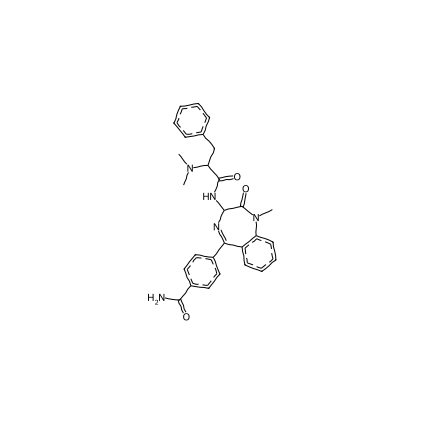 CN1C(=O)C(NC(=O)C(Cc2ccccc2)N(C)C)N=C(c2ccc(C(N)=O)cc2)c2ccccc21